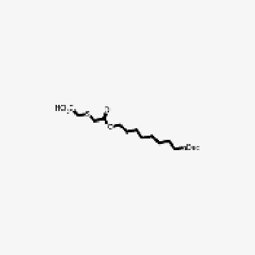 CCCCCCCCCCCCCCCCCCOC(=O)CSCC(=O)O